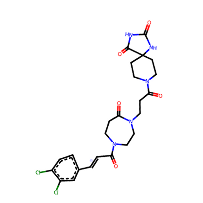 O=C1NC(=O)C2(CCN(C(=O)CCN3CCN(C(=O)/C=C/c4ccc(Cl)c(Cl)c4)CCC3=O)CC2)N1